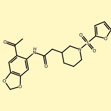 CC(=O)c1cc2c(cc1NC(=O)CC1CCCN(S(=O)(=O)c3ccco3)C1)OCO2